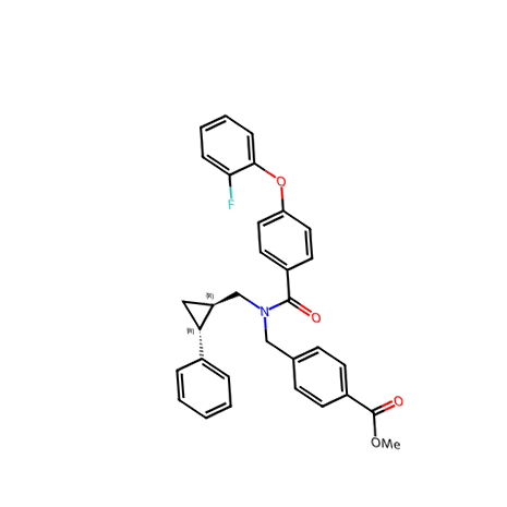 COC(=O)c1ccc(CN(C[C@@H]2C[C@H]2c2ccccc2)C(=O)c2ccc(Oc3ccccc3F)cc2)cc1